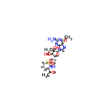 COc1nc(N)nc2c1ncn2[C@@H]1O[C@H](CO[P@]2(=O)N[C@@H](C(C)=O)CCCS2)[C@@H](O)[C@@]1(C)O